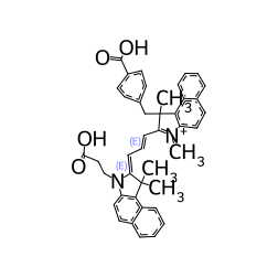 C[N+]1=C(/C=C/C=C2/N(CCC(=O)O)c3ccc4ccccc4c3C2(C)C)C(C)(Cc2ccc(C(=O)O)cc2)c2c1ccc1ccccc21